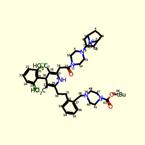 CN1C2CCC1CC(N1CCN(C(=O)CC3=C(C(=O)O)C(c4c(Cl)cccc4Cl)C(C(=O)O)=C(CCc4ccccc4CN4CCN(C(=O)OC(C)(C)C)CC4)N3)CC1)C2